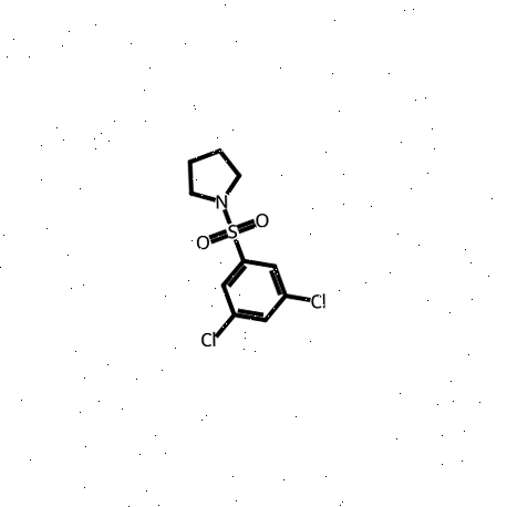 O=S(=O)(c1cc(Cl)cc(Cl)c1)N1CCCC1